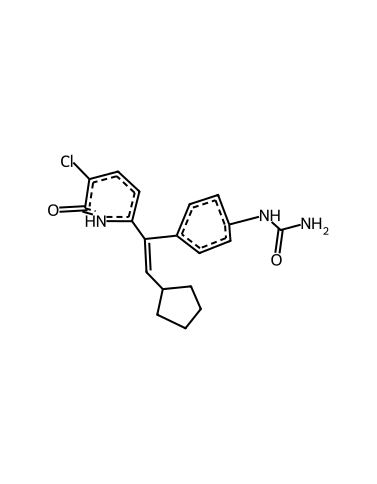 NC(=O)Nc1ccc(/C(=C\C2CCCC2)c2ccc(Cl)c(=O)[nH]2)cc1